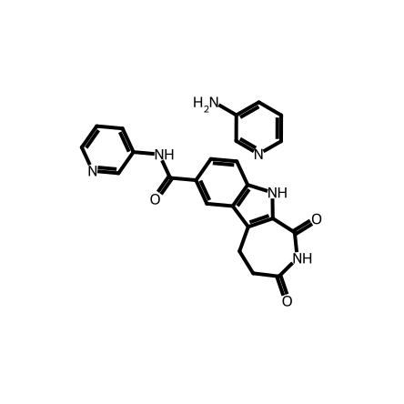 Nc1cccnc1.O=C1CCc2c([nH]c3ccc(C(=O)Nc4cccnc4)cc23)C(=O)N1